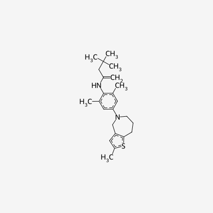 C=C(CC(C)(C)C)Nc1c(C)cc(N2CCCc3sc(C)cc3C2)cc1C